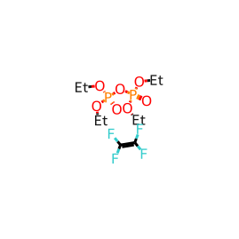 CCOP(=O)(OCC)OP(=O)(OCC)OCC.FC(F)=C(F)F